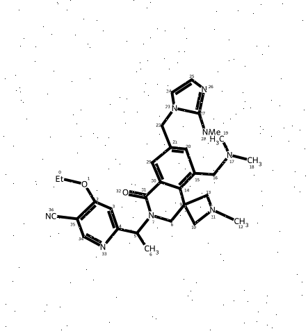 CCOc1cc(C(C)N2CC3(CN(C)C3)c3c(CN(C)C)cc(Cn4ccnc4NC)cc3C2=O)ncc1C#N